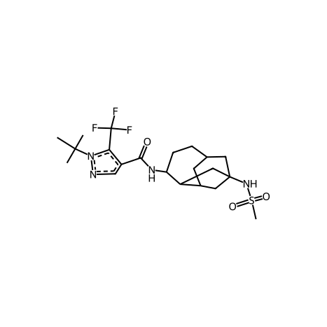 CC(C)(C)n1ncc(C(=O)NC2CCC3CC4CC(NS(C)(=O)=O)(C3)CC42)c1C(F)(F)F